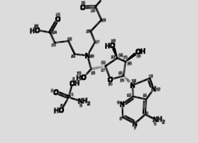 NP(=O)(O)O.Nc1ncnc2c1ncn2[C@@H]1O[C@H](C(O)N(CCCC(=O)O)CCCC(=O)O)[C@@H](O)[C@H]1O